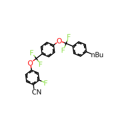 CCCCc1ccc(C(F)(F)Oc2ccc(C(F)(F)Oc3ccc(C#N)c(F)c3)cc2)cc1